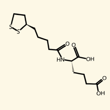 O=C(O)CCC[C@H](NC(=O)CCCC[C@@H]1CCSS1)C(=O)O